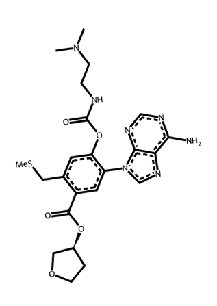 CSCc1cc(OC(=O)NCCN(C)C)c(-n2cnc3c(N)ncnc32)cc1C(=O)O[C@H]1CCOC1